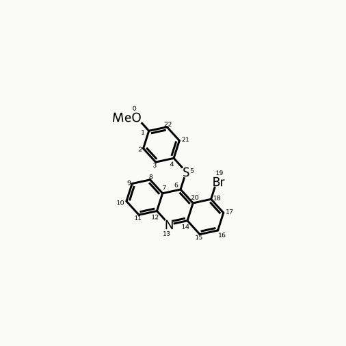 COc1ccc(Sc2c3ccccc3nc3cccc(Br)c23)cc1